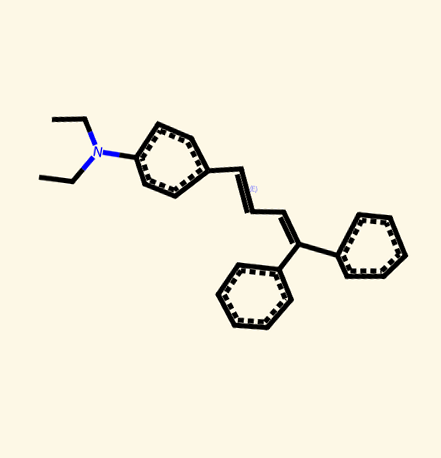 CCN(CC)c1ccc(/C=C/C=C(c2ccccc2)c2ccccc2)cc1